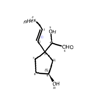 CCCCCC/C=C/C1(C(O)C=O)CC[C@H](O)C1